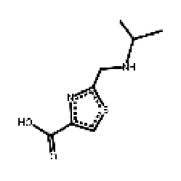 CC(C)NCc1nc(C(=O)O)cs1